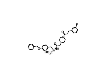 O=C(CC1CCN(C(=O)CCc2cccc(F)c2)CC1)N[C@@H](Cc1ccc(OCc2ccccc2)cc1)C(=O)O